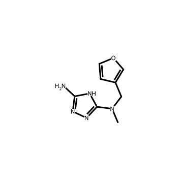 CN(Cc1ccoc1)c1nnc(N)[nH]1